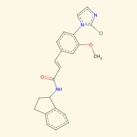 COc1cc(C=CC(=O)NC2CCc3ccccc32)ccc1-n1ccnc1Cl